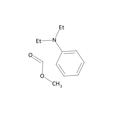 CCN(CC)c1ccccc1.COC=O